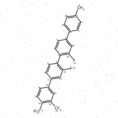 Cc1ccc(-c2ccc(-c3ccc(-c4ccc(C)c(C(F)(F)F)c4)cc3F)c(F)c2)cc1